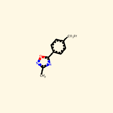 CCOC(=O)c1ccc(-c2nc(C)no2)cc1